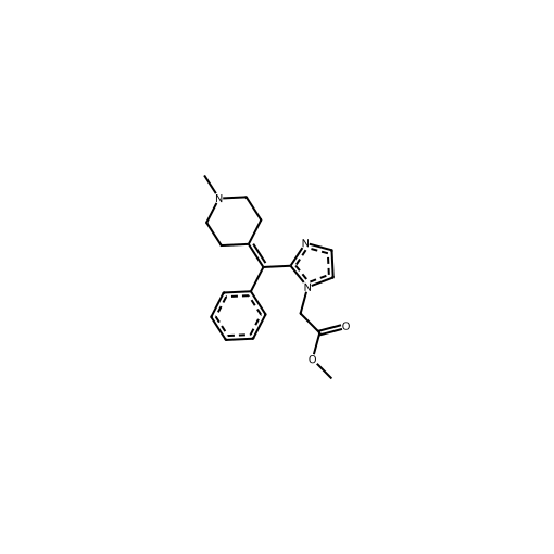 COC(=O)Cn1ccnc1C(=C1CCN(C)CC1)c1ccccc1